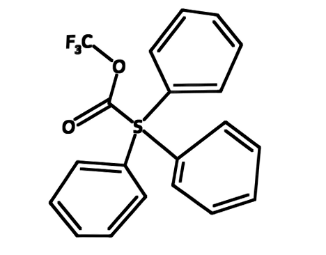 O=C(OC(F)(F)F)S(c1ccccc1)(c1ccccc1)c1ccccc1